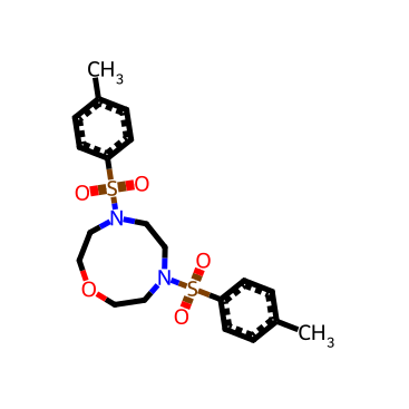 Cc1ccc(S(=O)(=O)N2CCOCCN(S(=O)(=O)c3ccc(C)cc3)CC2)cc1